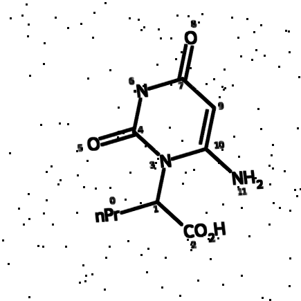 CCCC(C(=O)O)N1C(=O)[N]C(=O)C=C1N